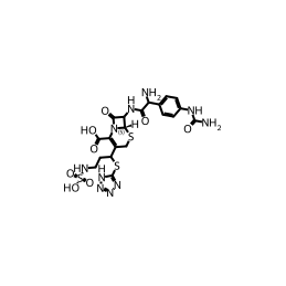 NC(=O)Nc1ccc(C(N)C(=O)NC2C(=O)N3C(C(=O)O)=C(C(CCNS(=O)(=O)O)Sc4nnn[nH]4)CS[C@@H]23)cc1